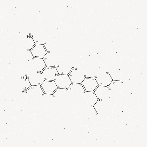 CCOc1cc(C(Nc2ccc(C(=N)N)cc2)C(=O)NNC(=O)c2ccc(O)cc2)ccc1OC(C)C